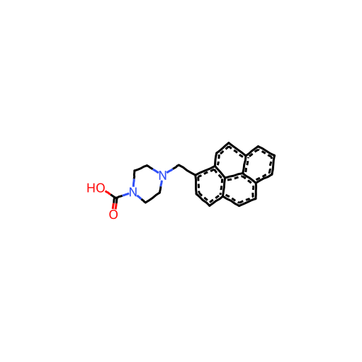 O=C(O)N1CCN(Cc2ccc3ccc4cccc5ccc2c3c45)CC1